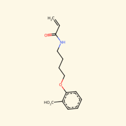 C=CC(=O)NCCCCOc1ccccc1C(=O)O